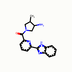 CC1CN(C(=O)c2cccc(-c3nc4ccccc4[nH]3)n2)CC1N